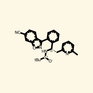 Cc1cccc(C[C@H](N[S+]([O-])C(C)(C)C)c2ccccc2-c2noc3cc(C#N)ccc23)n1